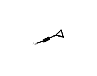 [Ag][C]#CC1CC1